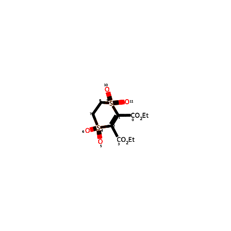 CCOC(=O)C1=C(C(=O)OCC)S(=O)(=O)CCS1(=O)=O